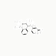 CC(=O)N1c2ccccc2C(Nc2cc[nH]c(=O)c2)[C@@H](C)[C@@H]1C